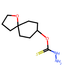 NNC(=S)OC1CCC2(CCCO2)CC1